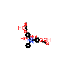 COCC(O)COc1ccc(-c2nc(-c3ccccc3)nc(-c3ccc(OCC(O)COC)cc3O)n2)c(O)c1